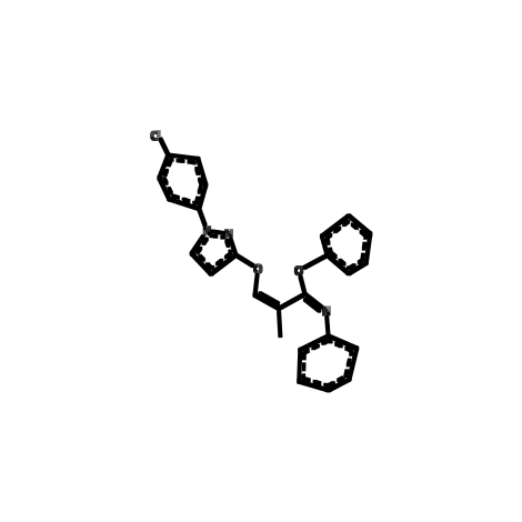 CC(=COc1ccn(-c2ccc(Cl)cc2)n1)/C(=N\c1ccccc1)Oc1ccccc1